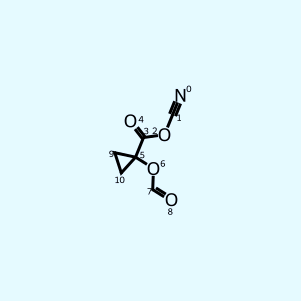 N#COC(=O)C1(OC=O)CC1